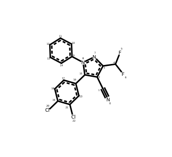 N#Cc1c(C(F)F)nn(-c2ccccc2)c1-c1ccc(Cl)c(Cl)c1